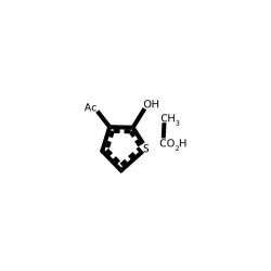 CC(=O)O.CC(=O)c1ccsc1O